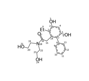 CCc1c(O)cc(O)c(-c2ccccc2)c1CC(=O)N(CCO)CCO